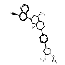 CO[C@H]1CN(c2ccc([C@@H]3CCN4[C@@H](C3)CN(c3ccc(C#N)c5ncccc35)C[C@H]4C)cn2)C[C@H]1N